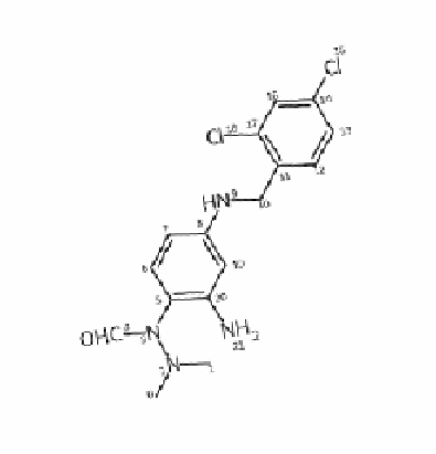 CN(C)N(C=O)c1ccc(NCc2ccc(Cl)cc2Cl)cc1N